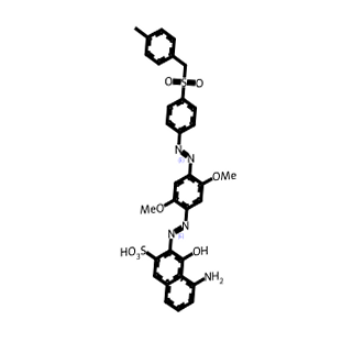 COc1cc(/N=N/c2c(S(=O)(=O)O)cc3cccc(N)c3c2O)c(OC)cc1/N=N/c1ccc(S(=O)(=O)Cc2ccc(C)cc2)cc1